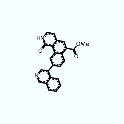 COC(=O)c1cc2cc[nH]c(=O)c2c2cc(-c3cncc4ccccc34)ccc12